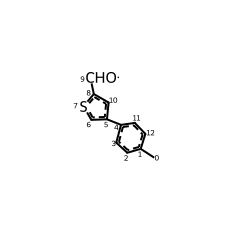 Cc1ccc(-c2csc([C]=O)c2)cc1